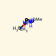 COc1ccc2c(n1)N(Cc1cccc(-c3ncc(OCCCN(C)C)cn3)c1)NN2